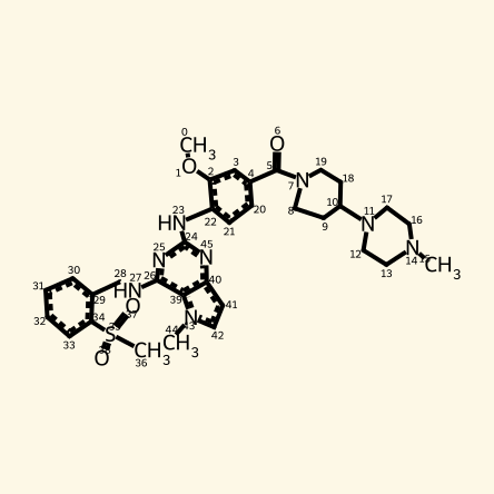 COc1cc(C(=O)N2CCC(N3CCN(C)CC3)CC2)ccc1Nc1nc(NCc2ccccc2S(C)(=O)=O)c2c(ccn2C)n1